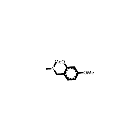 COc1ccc(CN(C)C)c(OC)c1